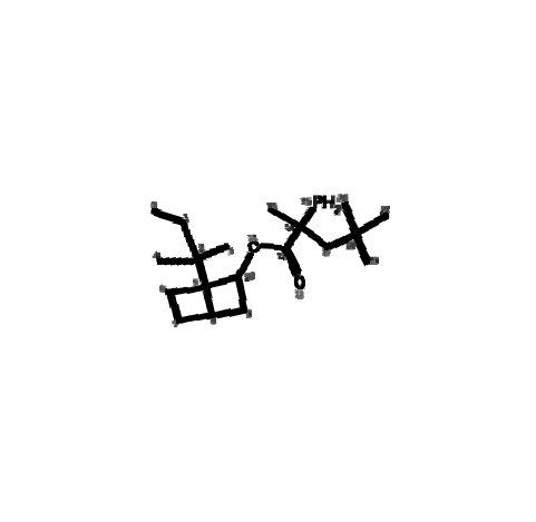 CCC(C)(C)C12CCC1CC2OC(=O)C(C)(P)CC(C)(C)C